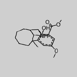 COC(=O)c1cc(OC)cc2c1CC1CCCCCC2(C)C1NO